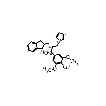 COc1cc([C@@H](O)[C@H](CC2Cc3ccccc3C2)Cn2c[c]cc2)cc(OC)c1C